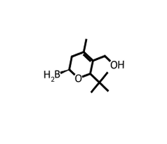 B[C@H]1CC(C)=C(CO)C(C(C)(C)C)O1